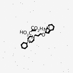 O=C(O)C=CC(=O)O.c1c(OCCCN2CCN(C3CCCCC3)CC2)nn2c1CCCC2